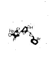 O=c1[nH]c(=O)n([C@@H]2CC(O)[C@H](COCc3ccccc3Br)O2)cc1F